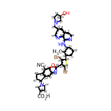 Cc1c(Nc2nccc3cc(CN4CC[C@@H](O)C4)cnc23)cccc1-c1sc(Br)c(-c2nc3cc4c(c(C#N)c3o2)CC[C@H]4N2CC[C@@H](C(=O)O)C2)c1Br